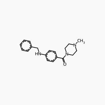 CN1CCN(C(=O)c2ccc(NCc3ccccc3)cc2)CC1